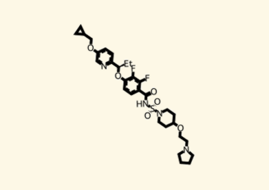 CC[C@@H](Oc1ccc(C(=O)NS(=O)(=O)N2CCC(OCCN3CCCC3)CC2)c(F)c1F)c1ccc(OCC2CC2)cn1